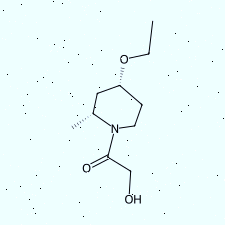 CCO[C@@H]1CCN(C(=O)CO)[C@H](C)C1